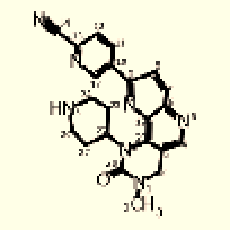 CN1Cc2cnc3ccc(-c4ccc(C#N)nc4)nc3c2N(C2CCNCC2)C1=O